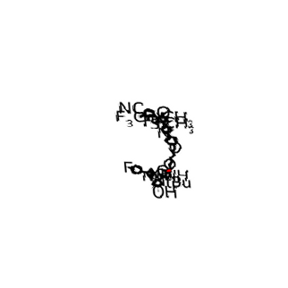 CC(C)(C)[C@H](NC(=O)COCCCCOc1ccc(-c2ccc(N3C(=S)N(c4ccc(C#N)c(C(F)(F)F)c4F)C(=O)C3(C)C)cn2)cc1)C(=O)N1C[C@H](O)C[C@H]1c1nc(-c2ccc(F)cc2)c[nH]1